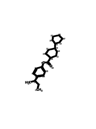 CCC(C)c1ccc(OC(=O)C2CCC(C3CCCCC3)CC2)cc1